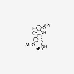 CCCCNCCCCc1[nH]c2c(OCCC)ccc(F)c2c(=O)c1-c1ccc(OC)cc1